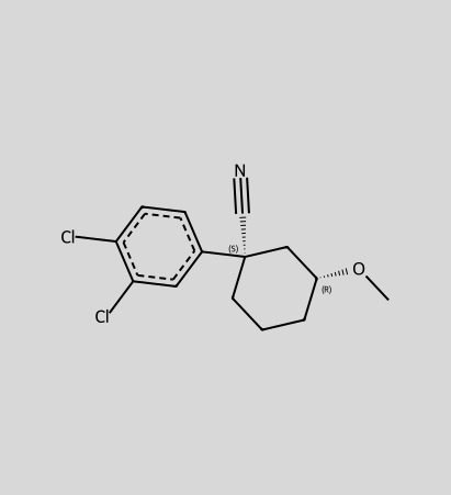 CO[C@@H]1CCC[C@@](C#N)(c2ccc(Cl)c(Cl)c2)C1